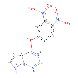 O=[N+]([O-])c1ccc(OC2=NC=NC3NC=CC23)cc1[N+](=O)[O-]